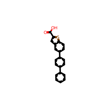 O=C(O)c1cc2cc(-c3ccc(-c4ccccc4)cc3)ccc2s1